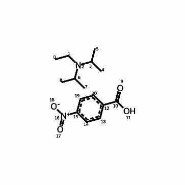 CCN(C(C)C)C(C)C.O=C(O)c1ccc([N+](=O)[O-])cc1